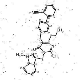 CCCc1nc(C)n(CC2=NN(C)C3C=CC=CC23)c(=O)c1Cc1ccc(-c2ccccc2C#N)cc1